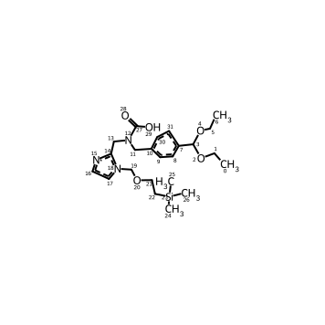 CCOC(OCC)c1ccc(CN(Cc2nccn2COCC[Si](C)(C)C)C(=O)O)cc1